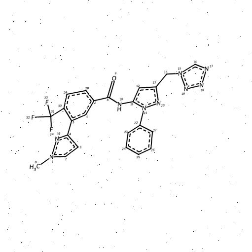 Cn1ccc(-c2cc(C(=O)Nc3cc(Cn4cnnn4)nn3-c3ccccc3)ccc2C(F)(F)F)n1